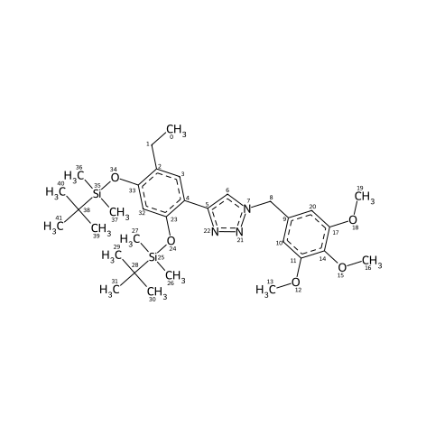 CCc1cc(-c2cn(Cc3cc(OC)c(OC)c(OC)c3)nn2)c(O[Si](C)(C)C(C)(C)C)cc1O[Si](C)(C)C(C)(C)C